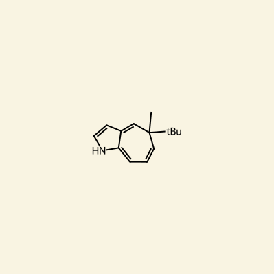 CC(C)(C)C1(C)C=CC=c2[nH]ccc2=C1